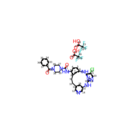 O=C(Nc1ccc2cc1CCc1cncc(c1)Nc1ncc(Cl)c(n1)N2)N1CCN(C(=O)c2ccccc2)CC1.O=C(O)C(F)(F)F.O=C(O)C(F)(F)F